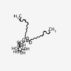 CC/C=C\C/C=C\C/C=C\CCCCCCCC(=O)OC[C@H](COP(=O)(O)OC1OC(CO)C(O)C(O)C1O)OC(=O)CCCCCCC/C=C\C/C=C\C/C=C\CC